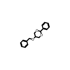 c1ccc(COC2COC(c3ccccc3)OC2)cc1